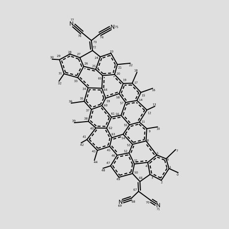 Cc1cc2c3c(c1C)c1c(C)c4c(C)c5c(C)c(C)c6c7c(C)cc8c9c%10c(cc(C)c(C)c%10c%10c(C)c%11c(C)c%12c(C)c(C)c%13c%14c(C)cc(c3c%14c1c1c4c3c5c6c(c%11c3c%12c%131)c%10c97)C2=C(C#N)C#N)C8=C(C#N)C#N